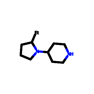 CCC1CCCN1C1CCNCC1